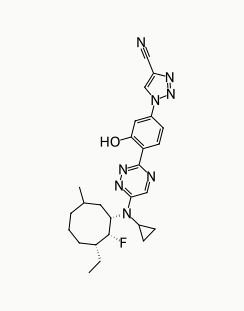 CC[C@@H]1CCCC(C)C[C@H](N(c2cnc(-c3ccc(-n4cc(C#N)nn4)cc3O)nn2)C2CC2)[C@@H]1F